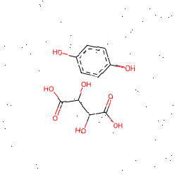 O=C(O)C(O)C(O)C(=O)O.Oc1ccc(O)cc1